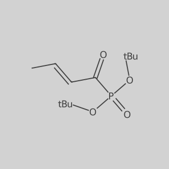 CC=CC(=O)P(=O)(OC(C)(C)C)OC(C)(C)C